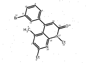 CCc1cc(C)c2c(-c3cccc(Br)c3)cc(=O)n(CC)c2n1